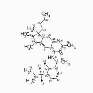 C=C1N(C)c2cc3c(N[C@H](C)c4cccc(C(F)(F)C(C)C)c4F)nc(C)nc3cc2C1(C)CCCC